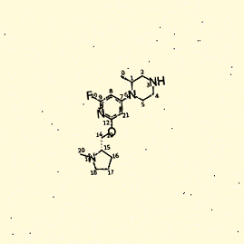 C[C@H]1CNCCN1c1cc(F)nc(OC[C@@H]2CCCN2C)c1